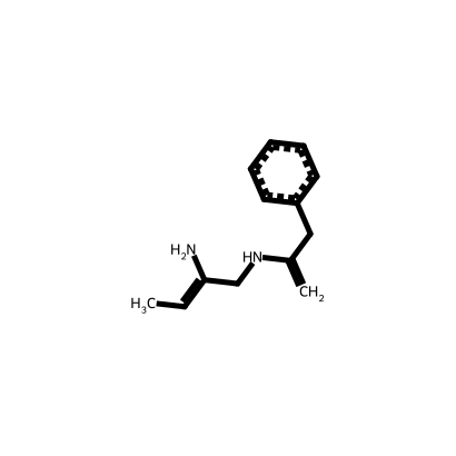 C=C(Cc1ccccc1)NC/C(N)=C/C